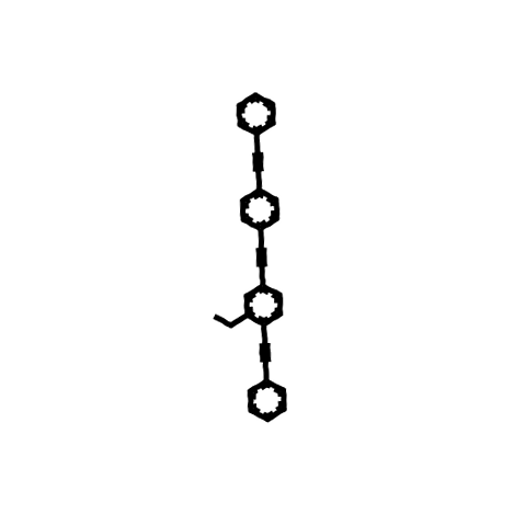 CCc1cc(C#Cc2ccc(C#Cc3ccccc3)cc2)ccc1C#Cc1ccccc1